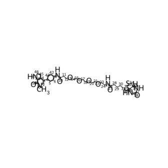 Cn1cc(-c2ccc(NC(=O)CCOCCOCCOCCOCCNC(=O)CCCC[C@@H]3SC[C@@H]4NC5OC5N[C@@H]43)cc2)c2cc[nH]c2c1=O